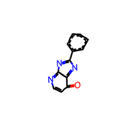 O=C1C=CN=C2N=C(c3ccccc3)N=C12